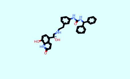 O=C(Nc1cccc(CCNC[C@H](O)c2ccc(O)c3[nH]c(=O)ccc23)c1)NC(c1ccccc1)c1ccccc1